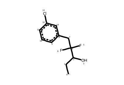 [CH2]CC(O)C(F)(F)Cc1cccc(Cl)c1